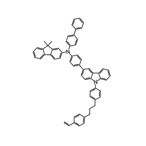 C=Cc1ccc(CCCc2ccc(-n3c4ccccc4c4cc(-c5ccc(N(c6ccc(-c7ccccc7)cc6)c6ccc7c(c6)C(C)(C)c6ccccc6-7)cc5)ccc43)cc2)cc1